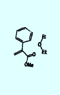 C=C(C(=O)OC)c1ccccc1.CCOCC